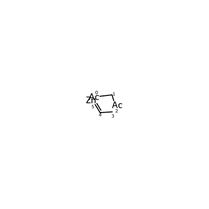 CC(=O)CC(C)=O.C[CH]=[Zn]